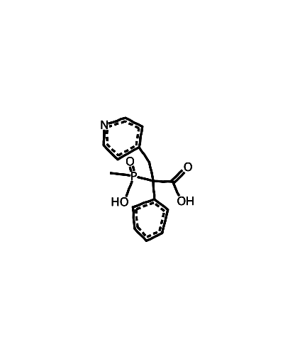 CP(=O)(O)C(Cc1ccncc1)(C(=O)O)c1ccccc1